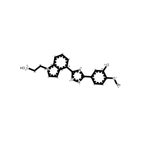 CC(C)Oc1ccc(-c2noc(-c3cccc4c3ccn4CCC(=O)O)n2)cc1Cl